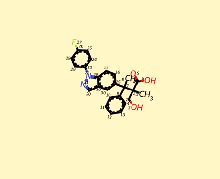 CC(CO)(C(=O)O)C(C)(c1ccccc1)c1ccc2c(cnn2-c2ccc(F)cc2)c1